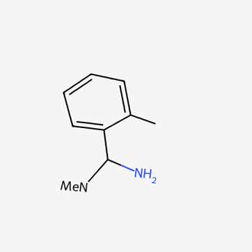 CNC(N)c1ccccc1C